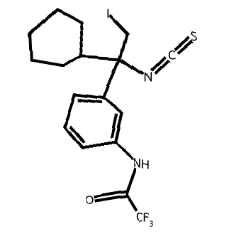 O=C(Nc1cccc(C(CI)(N=C=S)C2CCCCC2)c1)C(F)(F)F